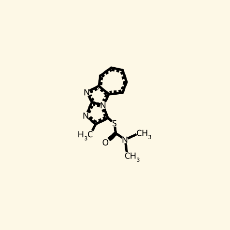 Cc1nc2nc3cccccc3n2c1SC(=O)N(C)C